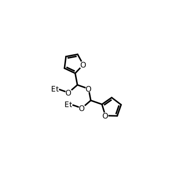 CCOC(OC(OCC)c1ccco1)c1ccco1